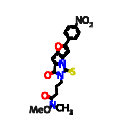 CON(C)C(=O)CCCN1C(=O)c2cc3oc(-c4ccc([N+](=O)[O-])cc4)cc3n2C1=S